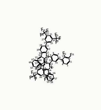 Fc1cccc(-c2ccc(-n3c4cc(-c5cc(C(F)(F)F)cc(C(F)(F)F)c5)ccc4c4ccc(-c5cc(C(F)(F)F)cc(C(F)(F)F)c5)cc43)c(-c3nc(-c4ccccc4)nc(-c4ccccc4)n3)c2)c1F